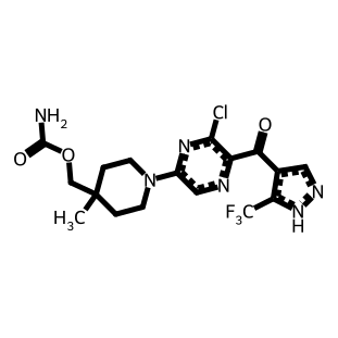 CC1(COC(N)=O)CCN(c2cnc(C(=O)c3cn[nH]c3C(F)(F)F)c(Cl)n2)CC1